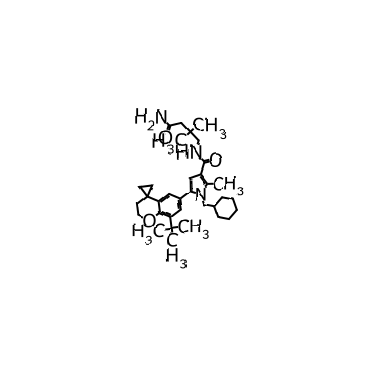 Cc1c(C(=O)NCC(C)(C)CC(N)=O)cc(-c2cc(C(C)(C)C)c3c(c2)C2(CCO3)CC2)n1CC1CCCCC1